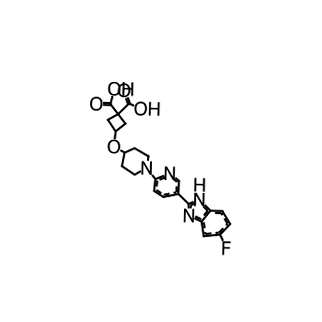 O=C(O)C1(C(=O)O)CC(OC2CCN(c3ccc(-c4nc5cc(F)ccc5[nH]4)cn3)CC2)C1